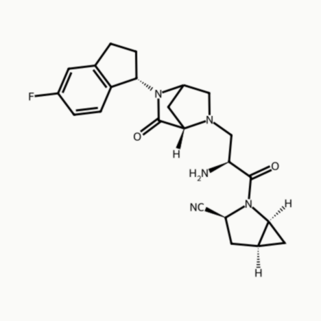 N#C[C@@H]1C[C@@H]2C[C@@H]2N1C(=O)[C@@H](N)CN1CC2C[C@H]1C(=O)N2[C@H]1CCc2cc(F)ccc21